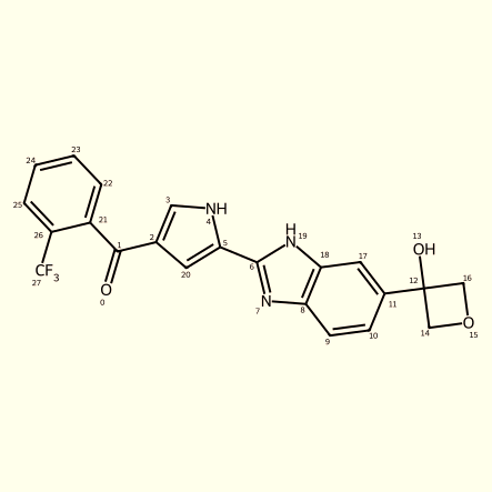 O=C(c1c[nH]c(-c2nc3ccc(C4(O)COC4)cc3[nH]2)c1)c1ccccc1C(F)(F)F